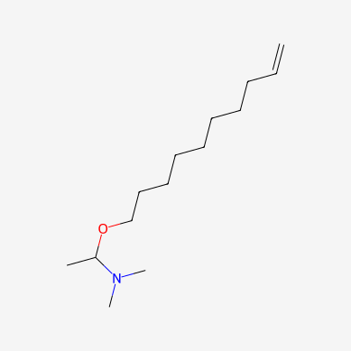 C=CCCCCCCCCOC(C)N(C)C